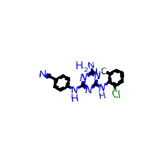 Cc1cccc(Cl)c1Nc1nc(N)nc(Nc2ccc(C#N)cc2)n1